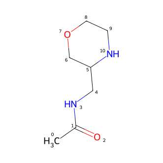 CC(=O)NCC1COCCN1